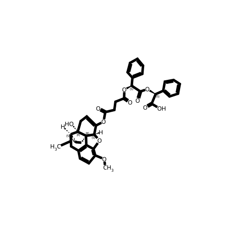 COc1ccc2c3c1O[C@@H]1C(OC(=O)CCC(=O)O[C@H](C(=O)O[C@H](C(=O)O)c4ccccc4)c4ccccc4)=CC[C@]4(O)[C@H](C2)N(C)CC[C@@]314